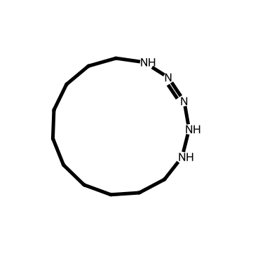 C1CCCCCNNN=NNCCCC1